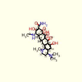 CCN[C@@H]1C(O)=C(C(N)=O)C(=O)[C@@]2(O)C(O)=C3C(=O)c4c(O)cc5c(c4C[C@H]3C[C@@H]12)N(C)CCC5N(C)C